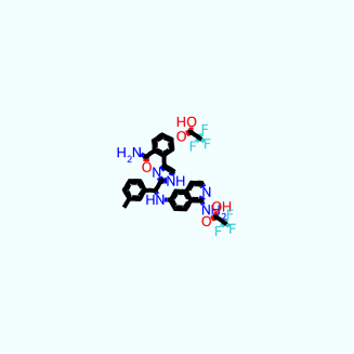 Cc1cccc(C(Nc2ccc3c(N)nccc3c2)c2nc(-c3ccccc3C(N)=O)c[nH]2)c1.O=C(O)C(F)(F)F.O=C(O)C(F)(F)F